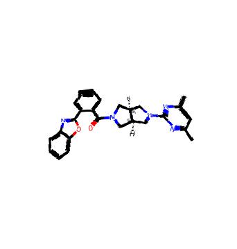 Cc1cc(C)nc(N2C[C@H]3CN(C(=O)c4ccccc4-c4nc5ccccc5o4)C[C@H]3C2)n1